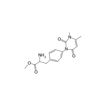 COC(=O)C(N)Cc1ccc(-n2c(=O)cc(C)n(C)c2=O)cc1